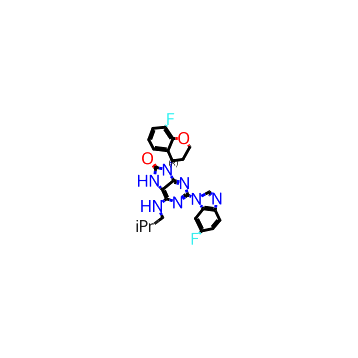 CC(C)CNc1nc(-n2cnc3ccc(F)cc32)nc2c1[nH]c(=O)n2[C@@H]1CCOc2c(F)cccc21